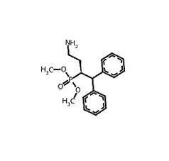 COP(=O)(OC)[C@@H](CCN)C(c1ccccc1)c1ccccc1